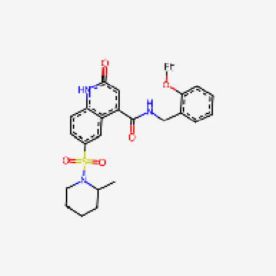 CCOc1ccccc1CNC(=O)c1cc(=O)[nH]c2ccc(S(=O)(=O)N3CCCCC3C)cc12